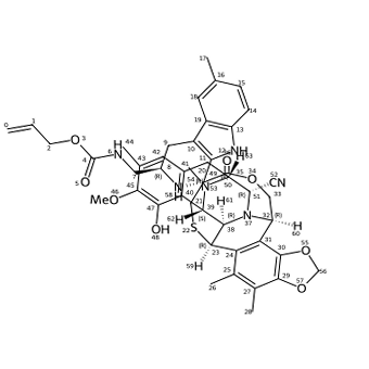 C=CCOC(=O)NC[C@H]1Cc2c([nH]c3ccc(C)cc23)[C@@]2(CS[C@@H]3c4c(C)c(C)c5c(c4[C@H](COC2=O)N2[C@@H]3[C@@H]3c4c(cc(C)c(OC)c4O)C[C@H]([C@@H]2C#N)N3C)OCO5)N1